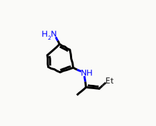 CC/C=C(/C)Nc1cccc(N)c1